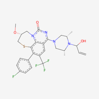 C=CC(O)N1[C@H](C)CN(c2nc(=O)n3c4c(c(-c5ccc(F)cc5)c(C(F)(F)F)cc24)SC[C@H](OC)C3)C[C@@H]1C